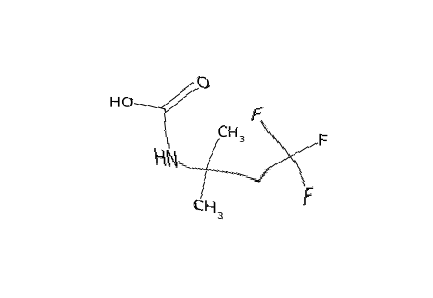 CC(C)(CC(F)(F)F)NC(=O)O